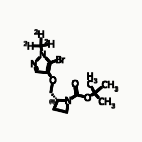 [2H]C([2H])([2H])n1ncc(OC[C@H]2CCN2C(=O)OC(C)(C)C)c1Br